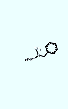 [CH2]CCCCN(C)Cc1ccccc1